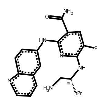 CCC[C@H](CN)Nc1nc(Nc2ccc3ncccc3c2)c(C(N)=O)cc1F